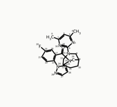 Cc1cc(C)nc(N2CC3CCC(C2)N(C(=O)c2cc(F)ccc2-n2nccn2)C3)n1